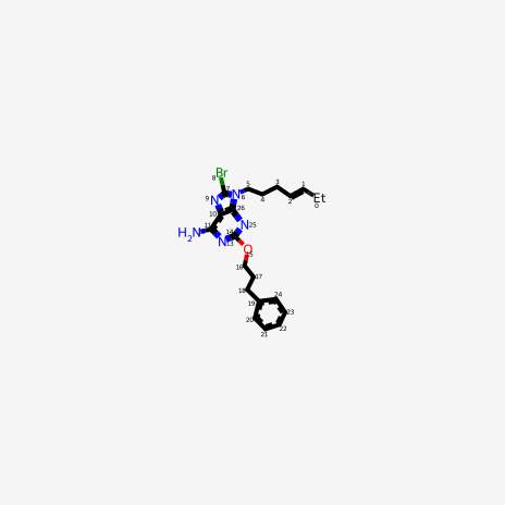 CC/C=C/CCCn1c(Br)nc2c(N)nc(OCCCc3ccccc3)nc21